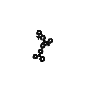 CC1(C)c2ccccc2-c2ccc(-n3c4ccc(-c5ccc(N(c6ccccc6)c6ccccc6)cc5)cc4c4sc5ccccc5c43)cc21